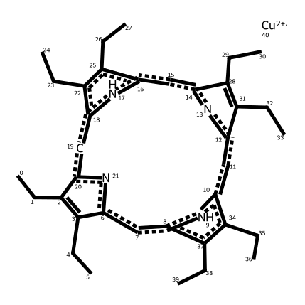 CCC1=C(CC)c2cc3[nH]c(cc4nc(cc5[nH]c(cc1n2)c(CC)c5CC)C(CC)=C4CC)c(CC)c3CC.[Cu+2]